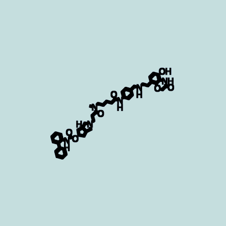 CN(CCCCC(=O)Nc1ccc(CNCCc2ccc(O)c3c2OCC(=O)N3)cc1)C(=O)CCN1CC2CC(OC(=O)Nc3ccccc3-c3ccccc3)C[C@@H]2C1